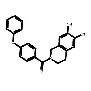 O=C(c1ccc(Oc2ccccc2)cc1)N1CCc2cc(O)c(O)cc2C1